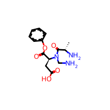 C[C@H](N)C(=O)N(CN)[C@@H](CC(=O)O)C(=O)Oc1ccccc1